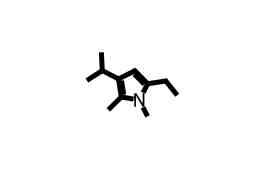 CCc1cc(C(C)C)c(C)n1C